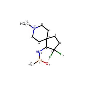 CC(C)(C)[S+]([O-])NC1C(F)(F)CCC12CCN(C(=O)O)CC2